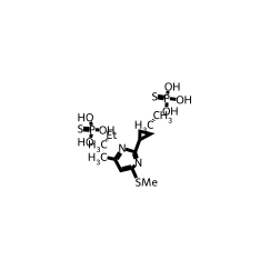 CC.CCC.CSc1cc(C)nc(C2CC2)n1.OP(O)(O)=S.OP(O)(O)=S